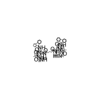 CN[C@@H](C)C(=O)N[C@H](C(=O)N1C[C@@H](NC(=O)CCCC(=O)N[C@H]2C[C@@H](C(=O)NC3c4ccccc4-c4ccccc43)N(C(=O)[C@@H](NC(=O)[C@H](C)NC)C(C)(C)C)C2)C[C@H]1C(=O)NC1C2=CCC=C2c2ccccc21)C(C)(C)C